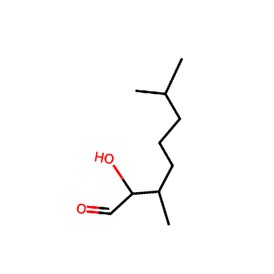 CC(C)CCCC(C)C(O)C=O